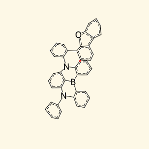 c1ccc(N2c3ccccc3B3c4ccccc4N(c4ccccc4-c4cccc5c4oc4ccccc45)c4cccc2c43)cc1